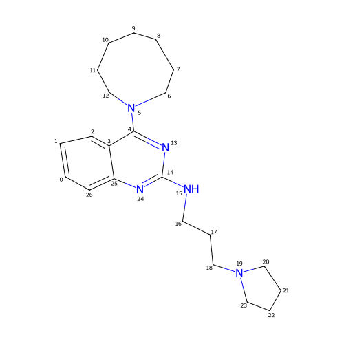 c1ccc2c(N3CCCCCCC3)nc(NCCCN3CCCC3)nc2c1